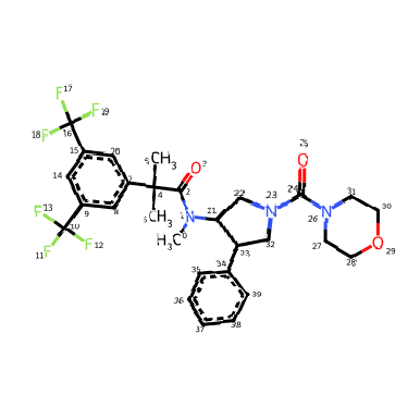 CN(C(=O)C(C)(C)c1cc(C(F)(F)F)cc(C(F)(F)F)c1)C1CN(C(=O)N2CCOCC2)CC1c1ccccc1